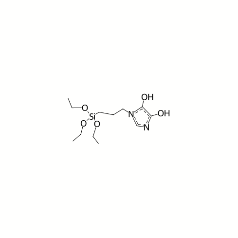 CCO[Si](CCCn1cnc(O)c1O)(OCC)OCC